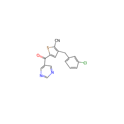 N#Cc1sc(C(=O)c2cncnc2)cc1Cc1cccc(Cl)c1